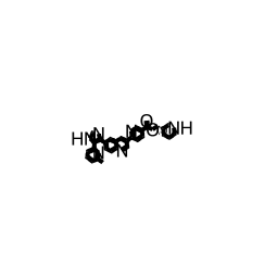 Cc1cccc(-c2[nH]cnc2-c2ccc3ncc(-c4ccc(C(=O)OC[C@H]5CCCNC5)cn4)cc3c2)n1